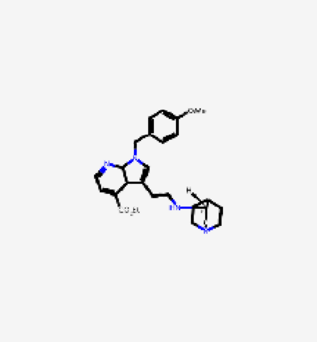 CCOC(=O)C1=CC=NC2C1C(CCN[C@H]1CN3CCC1CC3)=CN2Cc1ccc(OC)cc1